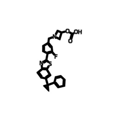 O=C(O)OC1CN(Cc2ccc(-c3nc4ccc(C5(c6ccccc6)CC5)cc4s3)c(F)c2)C1